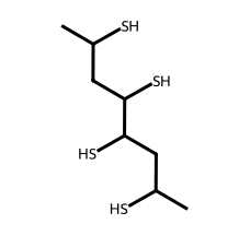 CC(S)CC(S)C(S)CC(C)S